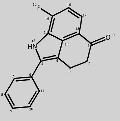 O=C1CCc2c(-c3ccccc3)[nH]c3c(F)ccc1c23